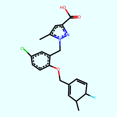 Cc1cc(C(=O)O)nn1Cc1cc(Cl)ccc1OCC1=CC(C)C(F)C=C1